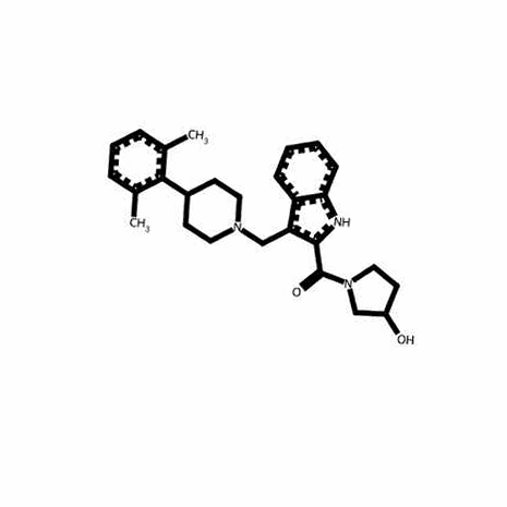 Cc1cccc(C)c1C1CCN(Cc2c(C(=O)N3CCC(O)C3)[nH]c3ccccc23)CC1